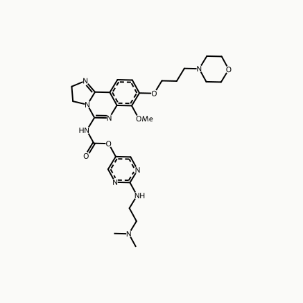 COc1c(OCCCN2CCOCC2)ccc2c1N=C(NC(=O)Oc1cnc(NCCN(C)C)nc1)N1CCN=C21